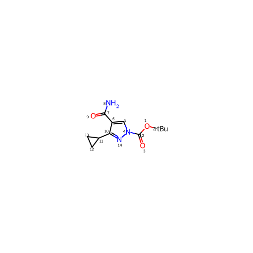 CC(C)(C)OC(=O)n1cc(C(N)=O)c(C2CC2)n1